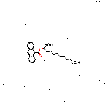 CCCCCCCCC(CCCCCCCCC(=O)O)OC(=O)c1c2ccccc2cc2ccccc12